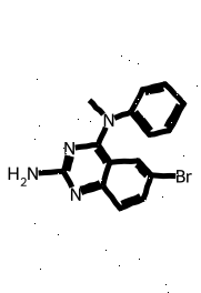 CN(c1ccccc1)c1nc(N)nc2ccc(Br)cc12